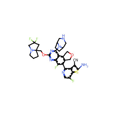 N#Cc1c(N)sc2c(F)cnc(-c3c4c(c5c(N6C7CCC6CNC7)nc(OCC67CCCN6CC(F)(F)C7)nc5c3F)COC4)c12